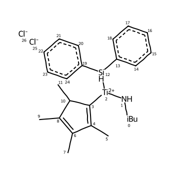 CCC(C)[NH][Ti+2]([C]1=C(C)C(C)=C(C)C1C)[SiH](c1ccccc1)c1ccccc1.[Cl-].[Cl-]